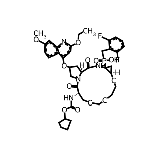 CCOc1cc(OC2C[C@H]3C(=O)N[C@]4(P(=O)(O)Cc5c(F)cccc5F)C[C@H]4CCCCCCC[C@H](NC(=O)OC4CCCC4)C(=O)N3C2)c2ccc(OC)cc2n1